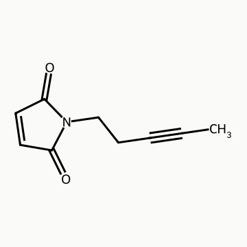 CC#CCCN1C(=O)C=CC1=O